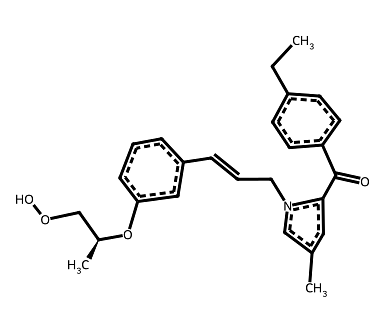 CCc1ccc(C(=O)c2cc(C)cn2C/C=C/c2cccc(O[C@@H](C)COO)c2)cc1